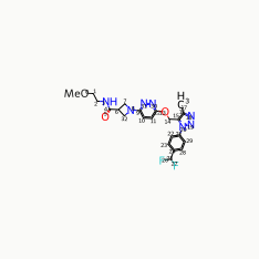 COCCNC(=O)C1CN(c2ccc(OCc3c(C)nnn3-c3ccc(C(F)F)cc3)nn2)C1